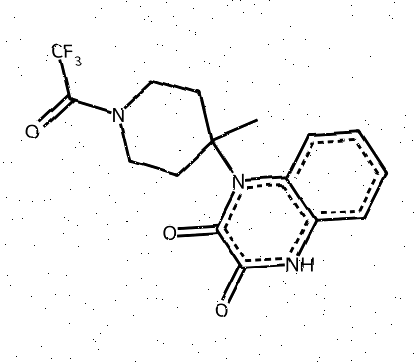 CC1(n2c(=O)c(=O)[nH]c3ccccc32)CCN(C(=O)C(F)(F)F)CC1